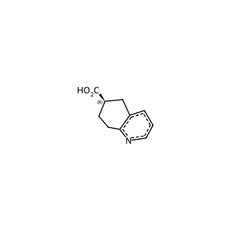 O=C(O)[C@@H]1CCc2ncccc2C1